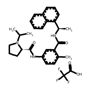 Cc1ccc(NC(=O)[C@@H]2CCCN2C(C)C)cc1C(=O)N[C@H](C)c1cccc2ccccc12.O=C(O)C(F)(F)F